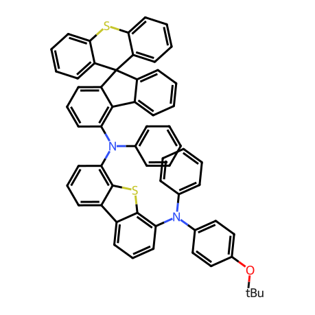 CC(C)(C)Oc1ccc(N(c2ccccc2)c2cccc3c2sc2c(N(c4ccccc4)c4cccc5c4-c4ccccc4C54c5ccccc5Sc5ccccc54)cccc23)cc1